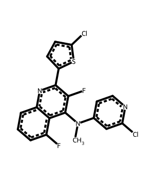 CN(c1ccnc(Cl)c1)c1c(F)c(-c2ccc(Cl)s2)nc2cccc(F)c12